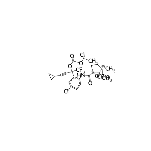 CC(Cl)OC(=O)OC(C#CC1CC1)(c1cc(Cl)ccc1NC(=O)[C@@]12CC[C@@](C)(C(=O)O1)C2(C)C)C(F)(F)F